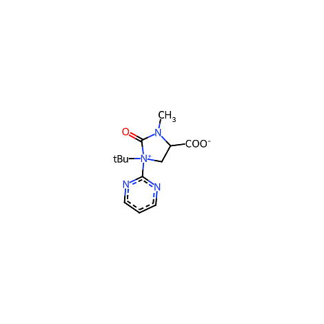 CN1C(=O)[N+](c2ncccn2)(C(C)(C)C)CC1C(=O)[O-]